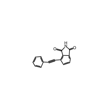 O=C1NC(=O)c2c(C#Cc3ccccc3)cccc21